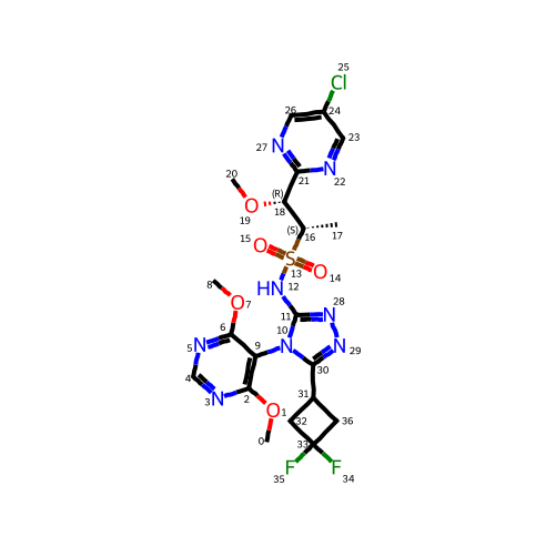 COc1ncnc(OC)c1-n1c(NS(=O)(=O)[C@@H](C)[C@H](OC)c2ncc(Cl)cn2)nnc1C1CC(F)(F)C1